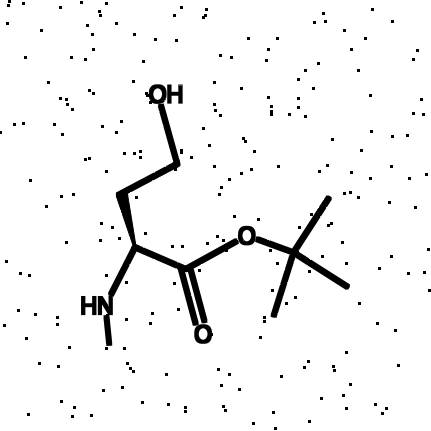 CN[C@@H](CCO)C(=O)OC(C)(C)C